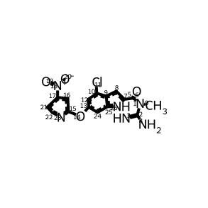 CN(C(=N)N)C(=O)c1cc2c(Cl)cc(Oc3cc([N+](=O)[O-])ccn3)cc2[nH]1